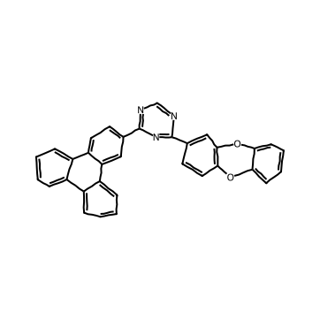 c1ccc2c(c1)Oc1ccc(-c3ncnc(-c4ccc5c6ccccc6c6ccccc6c5c4)n3)cc1O2